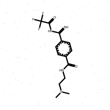 CN(C)CCNC(=O)c1ccc(C(=N)NC(=O)C(F)(F)F)cc1